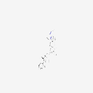 C=C/C(=C\C=C/C)[C@]1(N(C)C)CC[C@@]2(CC1)CC(=O)N(CCC(C)(C)C(=O)Nc1ccncn1)C2